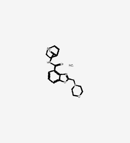 Cl.O=C(NC1CN2CCC1CC2)c1cccc2oc(CN3CCOCC3)nc12